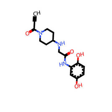 C#CC(=O)N1CCC(NCC(=O)Nc2cc(O)ccc2O)CC1